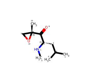 CN[C@@H](CC(C)C)C(=O)[C@@]1(C)CO1